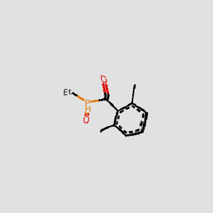 CC[PH](=O)C(=O)c1c(C)cccc1C